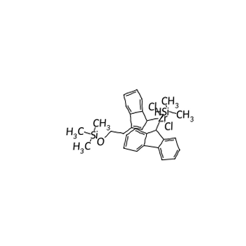 C[SiH](C)[Zr]([Cl])([Cl])([CH]1C=C(CCO[Si](C)(C)C)c2ccccc21)[CH]1c2ccccc2-c2ccccc21